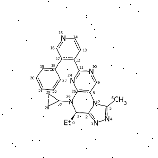 CC[C@@H]1c2nnc(C)n2-c2cnc(-c3ccncc3-c3ccccc3)nc2N1C1CC1